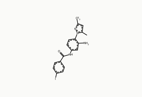 Cc1cc(C(F)(F)F)nn1-c1ccc(NC(=O)c2ccc(I)cc2)cc1N